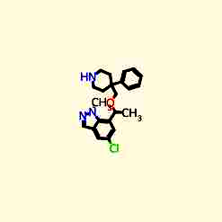 CC(OCC1(c2ccccc2)CCNCC1)c1cc(Cl)cc2cnn(C)c12